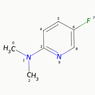 CN(C)c1ccc(F)cn1